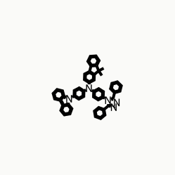 CC1(C)c2ccccc2-c2ccc(N(c3ccc(-n4c(-c5ccccc5)nnc4-c4ccccc4)cc3)c3ccc(-n4c5ccccc5c5ccccc54)cc3)cc21